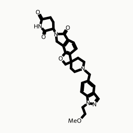 COCCn1ncc2cc(CN3CCC4(CC3)COc3c4ccc4c3CN(C3CCC(=O)NC3=O)C4=O)ccc21